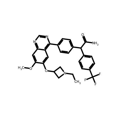 CCN1CC(Oc2cc3c(-c4ccc(C(C(N)=O)c5ccc(C(F)(F)F)cc5)cc4)ncnc3cc2OC)C1